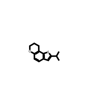 CC(C)c1cc2ccc3c(c2s1)CCCO3